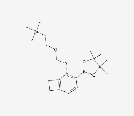 CC1(C)OB(c2ccc3c(c2OCOCC[Si](C)(C)C)CC3)OC1(C)C